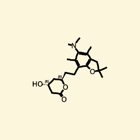 Cc1c(CC[C@@H]2C[C@@H](O)CC(=O)O2)c2c(c(C)c1N(C)C)CC(C)(C)O2